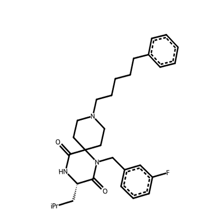 CC(C)C[C@@H]1NC(=O)C2(CCN(CCCCCc3ccccc3)CC2)N(Cc2cccc(F)c2)C1=O